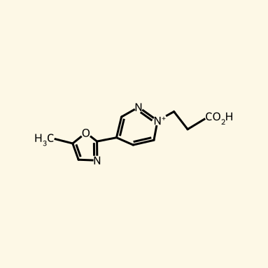 Cc1cnc(-c2cc[n+](CCC(=O)O)nc2)o1